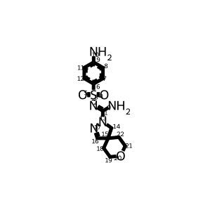 N/C(=N\S(=O)(=O)c1ccc(N)cc1)N1CC2(C=N1)CCOCC2